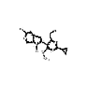 COc1nc(C2CC2)nc(OC)c1-c1cc2cc(Cl)ncc2n1C